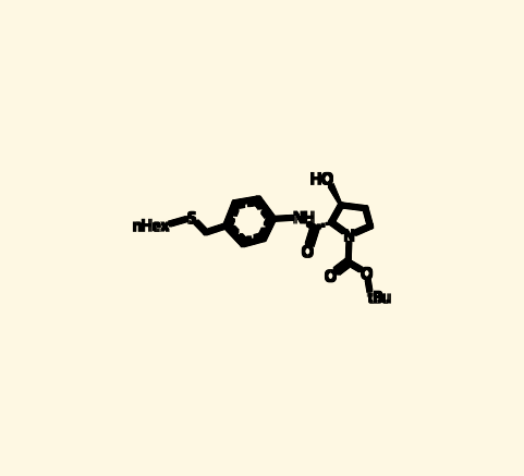 CCCCCCSCc1ccc(NC(=O)[C@@H]2[C@@H](O)CCN2C(=O)OC(C)(C)C)cc1